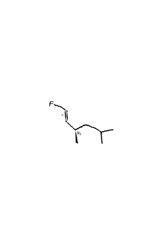 CC(C)C[C@@H](C)/C=C/F